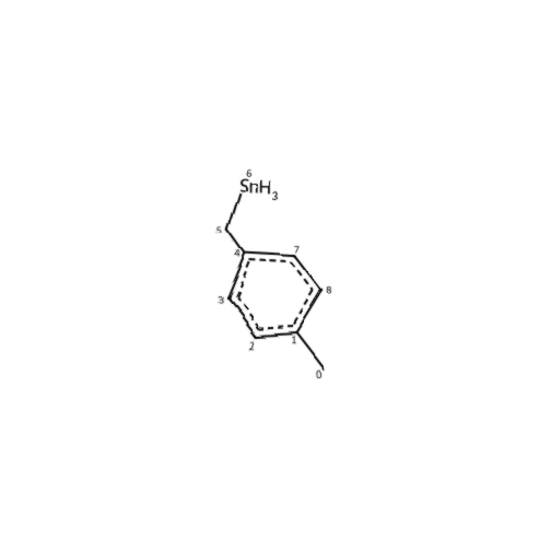 Cc1ccc([CH2][SnH3])cc1